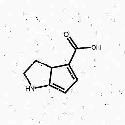 O=C(O)C1=CC=C2NCCC21